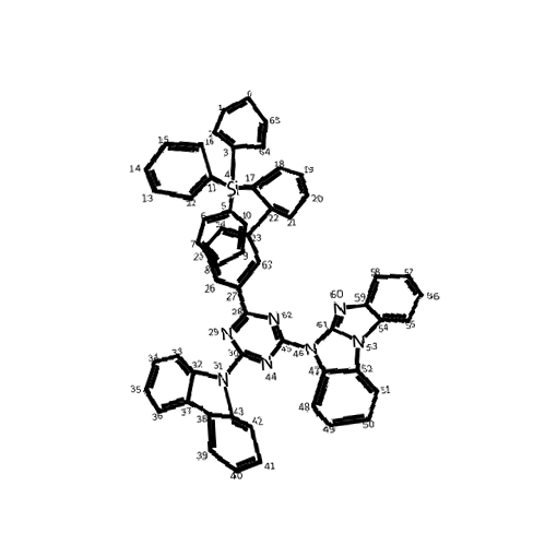 c1ccc([Si](c2ccccc2)(c2ccccc2)c2ccccc2-c2cccc(-c3nc(-n4c5ccccc5c5ccccc54)nc(-n4c5ccccc5n5c6ccccc6nc45)n3)c2)cc1